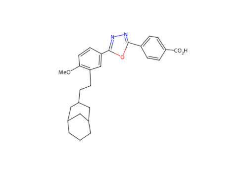 COc1ccc(-c2nnc(-c3ccc(C(=O)O)cc3)o2)cc1CCC1CC2CCCC(C2)C1